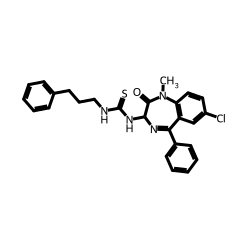 CN1C(=O)C(NC(=S)NCCCc2ccccc2)N=C(c2ccccc2)c2cc(Cl)ccc21